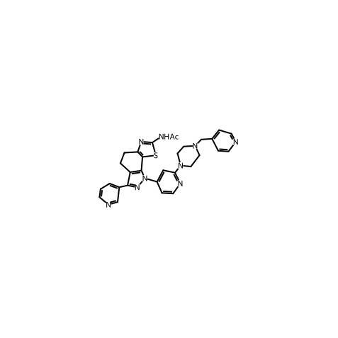 CC(=O)Nc1nc2c(s1)-c1c(c(-c3cccnc3)nn1-c1ccnc(N3CCN(Cc4ccncc4)CC3)c1)CC2